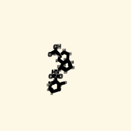 Cc1cccnc1S(=O)(=O)Nc1cccc2c1CN(C(=O)O)CC2